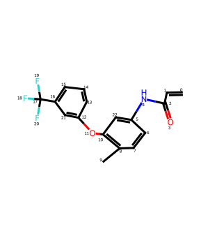 C=CC(=O)Nc1ccc(C)c(Oc2cccc(C(F)(F)F)c2)c1